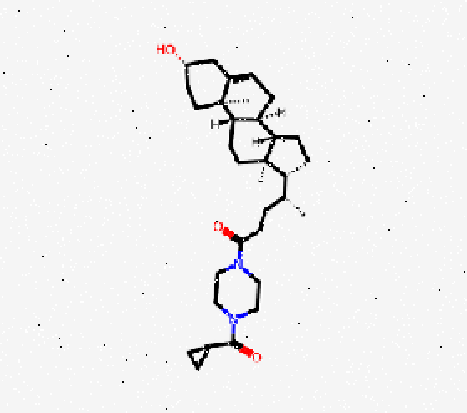 C[C@H](CCC(=O)N1CCN(C(=O)C2CC2)CC1)[C@H]1CC[C@H]2[C@@H]3CC=C4C[C@@H](O)CC[C@]4(C)[C@H]3CC[C@]12C